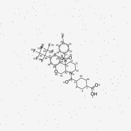 O=C(O)C1CCC(C(=O)N2CCCC3(S(=O)(=O)c4ccc(F)cc4)c4ccc(C(F)(C(F)(F)F)C(F)(F)F)cc4OCC23)CC1